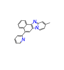 Cc1ccn2c(c1)nc1c3ccccc3c(-c3ccccn3)cc12